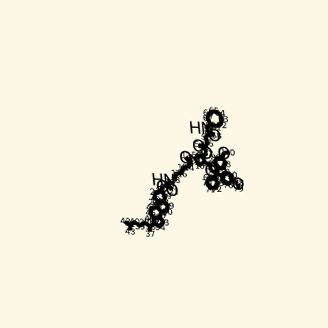 COc1ccc(C(OCC2CN(C(=O)CCCCCNC(=O)OC3CC[C@@]4(C)C(=CCC5C6CCC(C(C)CCCC(C)C)[C@@]6(C)CCC54)C3)CC2OC(=O)CCC(=O)NC2CCCCCCC2)(c2ccccc2)c2ccc(OC)cc2)cc1